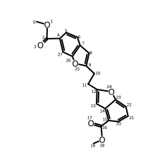 COC(=O)c1ccc2cc(CCc3cc4c(C(=O)OC)cccc4o3)oc2c1